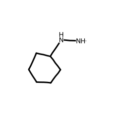 [NH]NC1CCCCC1